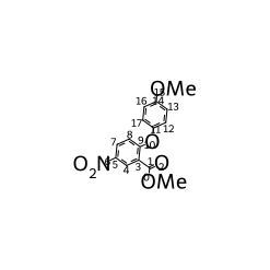 COC(=O)c1cc([N+](=O)[O-])ccc1Oc1ccc(OC)cc1